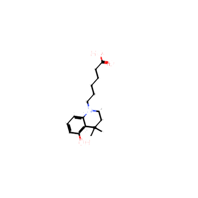 CC1(C)CCN(CCCCCC(=O)O)c2cccc(O)c21